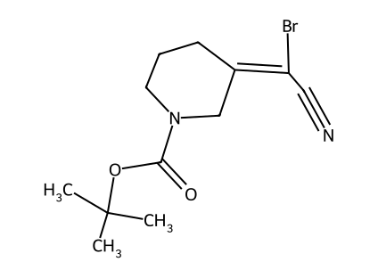 CC(C)(C)OC(=O)N1CCCC(=C(Br)C#N)C1